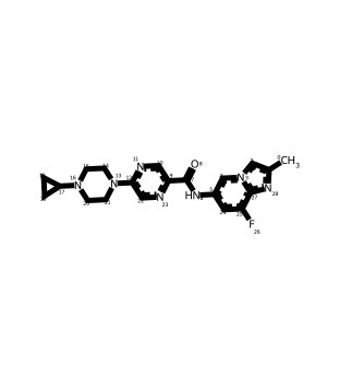 Cc1cn2cc(NC(=O)c3cnc(N4CCN(C5CC5)CC4)cn3)cc(F)c2n1